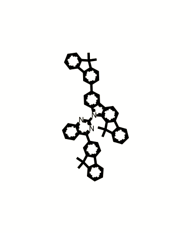 CC1(C)c2ccccc2-c2cc(-c3ccc4c(c3)c3ccc5c(c3n4-c3nc(-c4ccc6c(c4)C(C)(C)c4ccccc4-6)c4ccccc4n3)C(C)(C)c3ccccc3-5)ccc21